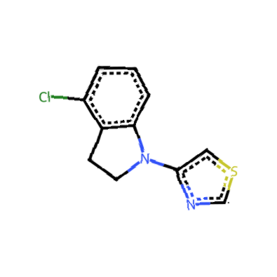 Clc1cccc2c1CCN2c1cs[c]n1